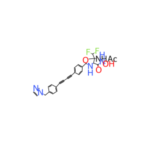 CC(=O)NC(C)(C(F)F)C(NC(=O)c1ccc(C#CC#Cc2ccc(Cn3ccnc3)cc2)cc1)C(=O)NO